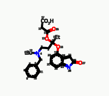 CCC(CCN(Cc1ccccc1)C(C)(C)C)(OC(=O)CC(=O)O)Oc1cccc2c1=CC(=O)N=2